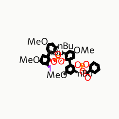 CCCCc1cc(OC)cc(-c2cc(OC)cc(CCCC)c2Op2oc3c(I)cc(OC)cc3c3cc(OC)cc(CCCC)c3o2)c1OP1OC(=O)c2ccccc2O1